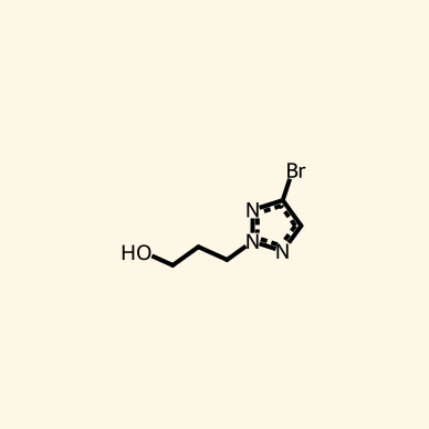 OCCCn1ncc(Br)n1